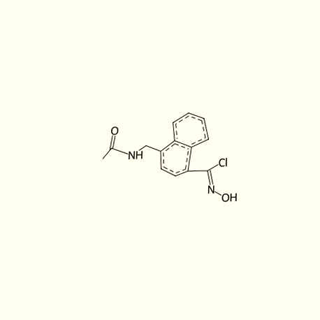 CC(=O)NCc1ccc(C(Cl)=NO)c2ccccc12